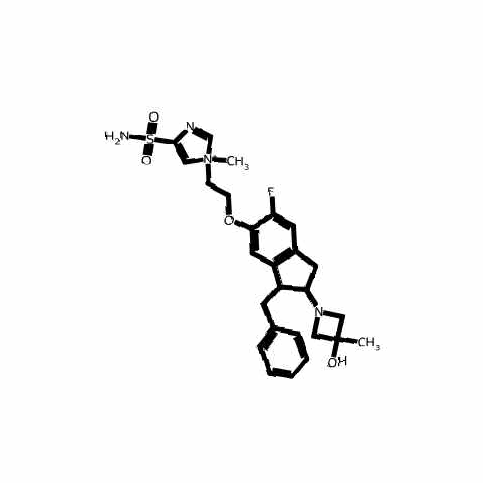 CC1(O)CN(C2Cc3cc(F)c(OCC[N+]4(C)C=NC(S(N)(=O)=O)=C4)cc3C2Cc2ccccc2)C1